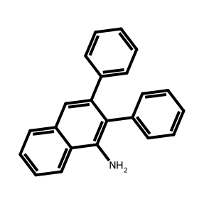 Nc1c(-c2ccccc2)c(-c2ccccc2)cc2ccccc12